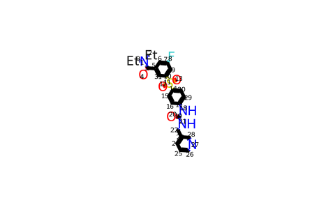 CCN(CC)C(=O)c1cc(F)cc(S(=O)(=O)c2ccc(NC(=O)NCc3cccnc3)cc2)c1